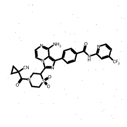 N#CC1(C(=O)N2CCS(=O)(=O)C(c3nc(-c4ccc(C(=O)Nc5cc(C(F)(F)F)ccn5)cc4)c4c(N)nccn34)C2)CC1